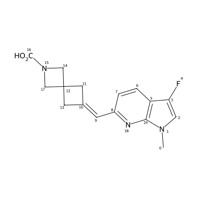 Cn1cc(F)c2ccc(C=C3CC4(C3)CN(C(=O)O)C4)nc21